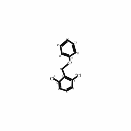 Clc1cccc(Cl)c1COc1[c]cccc1